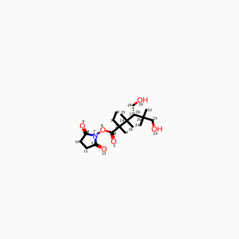 CCC(C)(C(=O)ON1C(=O)CCC1=O)C(C)(C)[C@H](CO)C(C)(C)CO